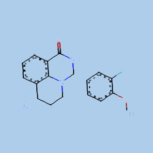 COc1ccc([C@H]2NC(=O)c3cccc4c3N2CC[C@@H]4N)cc1F